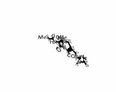 CO[C@@]1(NC(=O)CSC)C(=O)N2C(C(=O)O)=C(CSc3nnc(C)n3C)CS[C@H]21